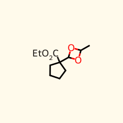 CCOC(=O)C1(C2OC(C)O2)CCCC1